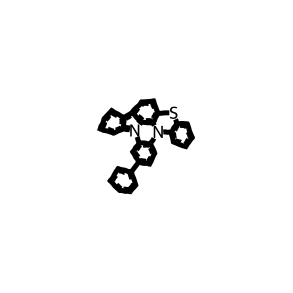 c1ccc(-c2ccc3c(c2)-n2c4ccccc4c4ccc5c(c42)N3c2ccccc2S5)cc1